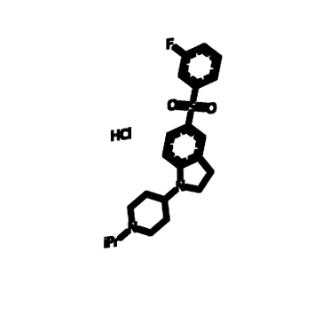 CC(C)N1CCC(N2CCc3cc(S(=O)(=O)c4cccc(F)c4)ccc32)CC1.Cl